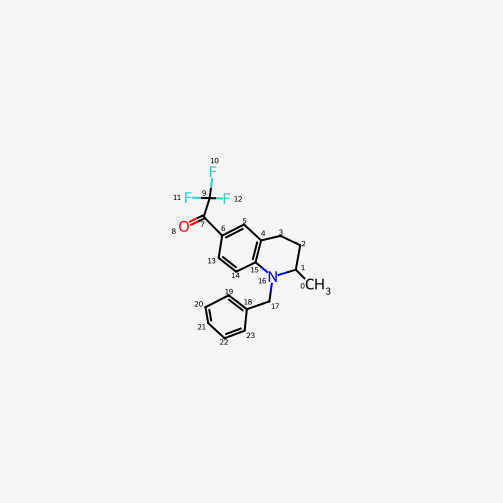 CC1CCc2cc(C(=O)C(F)(F)F)ccc2N1Cc1ccccc1